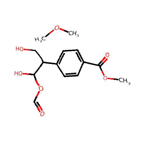 COC.COC(=O)c1ccc(C(CO)C(O)OC=O)cc1